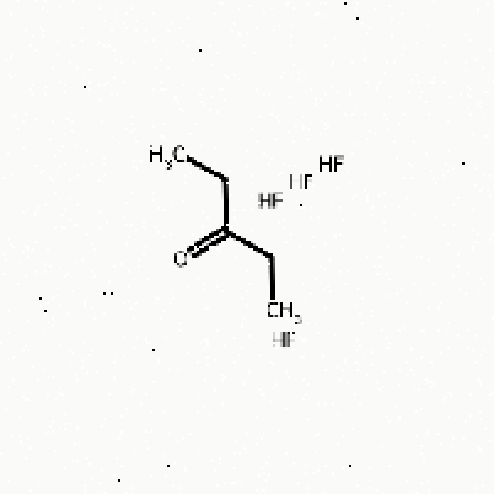 CCC(=O)CC.F.F.F.F